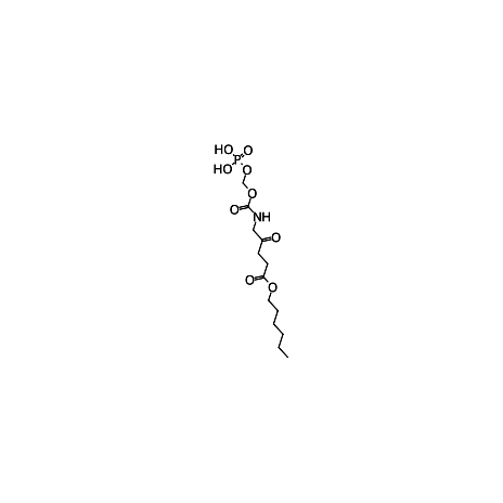 CCCCCCOC(=O)CCC(=O)CNC(=O)OCOP(=O)(O)O